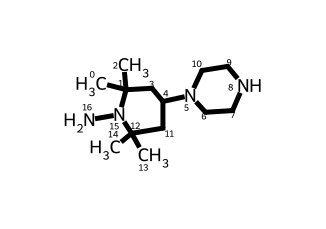 CC1(C)CC(N2CCNCC2)CC(C)(C)N1N